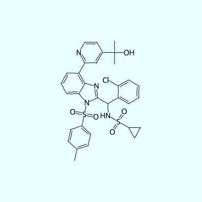 Cc1ccc(S(=O)(=O)n2c(C(NS(=O)(=O)C3CC3)c3ccccc3Cl)nc3c(-c4cc(C(C)(C)O)ccn4)cccc32)cc1